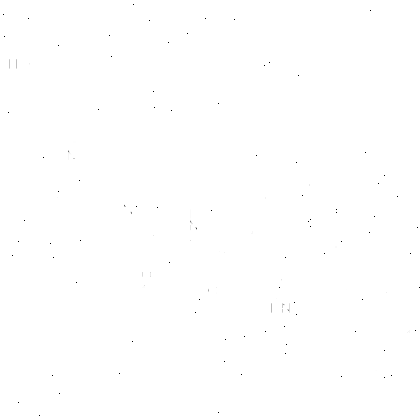 O=C(NC(=O)N1CCN(CCO)CC1)c1cccc2c1[nH]c1ccccc12